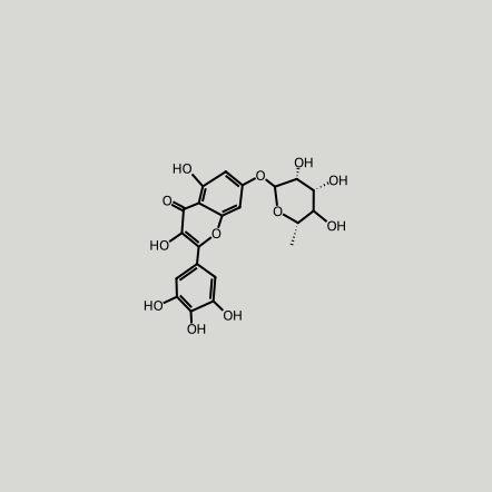 C[C@@H]1OC(Oc2cc(O)c3c(=O)c(O)c(-c4cc(O)c(O)c(O)c4)oc3c2)[C@H](O)[C@H](O)C1O